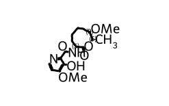 COc1ccnc(C(=O)N[C@H]2CCCC[C@@H](OC)[C@H](C)OC2=O)c1O